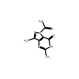 Cc1nc2c(C)nn(C(N)=O)c2c(=O)[nH]1